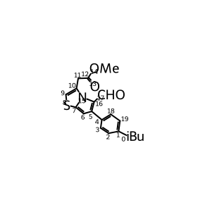 CCC(C)c1ccc(-c2cc3scc(CC(=O)OC)n3c2C=O)cc1